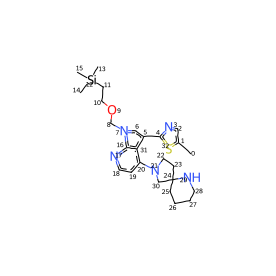 Cc1cnc(-c2cn(COCC[Si](C)(C)C)c3nccc(N4CCC5(CCCCN5)C4)c23)s1